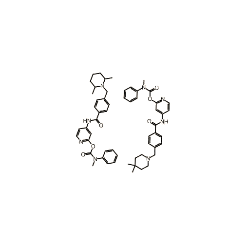 CC1CCCC(C)N1Cc1ccc(C(=O)Nc2ccnc(OC(=O)N(C)c3ccccc3)c2)cc1.CN(C(=O)Oc1cc(NC(=O)c2ccc(CN3CCC(C)(C)CC3)cc2)ccn1)c1ccccc1